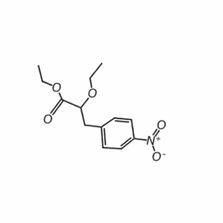 CCOC(=O)C(Cc1ccc([N+](=O)[O-])cc1)OCC